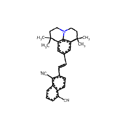 CC1(C)CCN2CCC(C)(C)c3cc(C=Cc4ccc5c(C#N)cccc5c4C#N)cc1c32